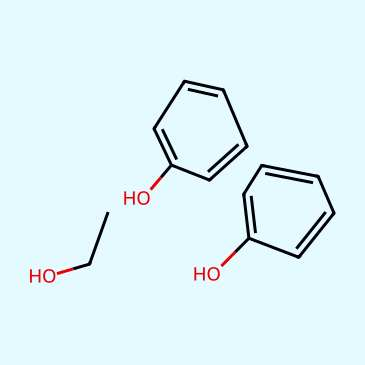 CCO.Oc1ccccc1.Oc1ccccc1